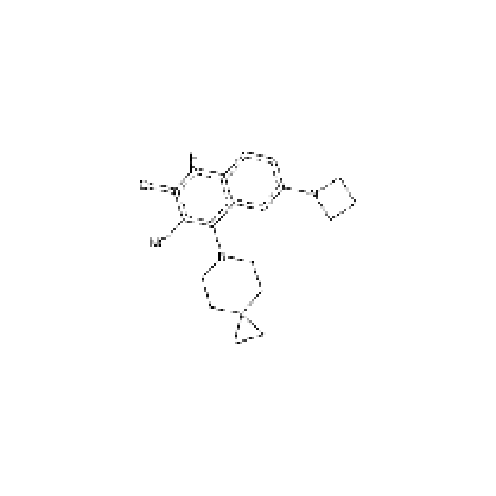 N#Cc1c(N2CCC3(CC2)CC3)c2cc(N3CCC3)ccc2[nH]c1=O